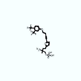 CC(N)(CCc1ccc(C#CCCOc2ccc(C(F)(F)F)c(C(F)(F)F)c2)s1)COP(=O)(O)O